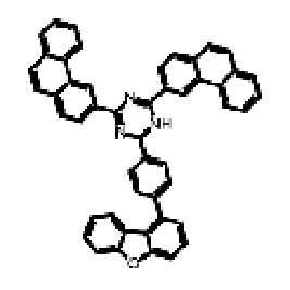 c1ccc2c(c1)ccc1ccc(C3=NC(c4ccc(-c5cccc6oc7ccccc7c56)cc4)NC(c4ccc5ccc6ccccc6c5c4)=N3)cc12